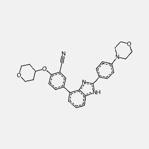 N#Cc1cc(-c2cccc3[nH]c(-c4ccc(N5CCOCC5)cc4)nc23)ccc1OC1CCOCC1